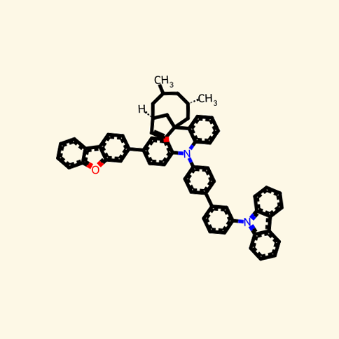 CC1C[C@H](C)CC2(c3ccccc3N(c3ccc(-c4cccc(-n5c6ccccc6c6ccccc65)c4)cc3)c3ccc(-c4ccc5c(c4)oc4ccccc45)cc3)C=C[C@@H](C1)C2